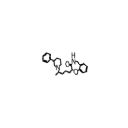 CC(CCCC1Oc2ccccc2CNC1=O)N1CCCC(c2ccccc2)C1